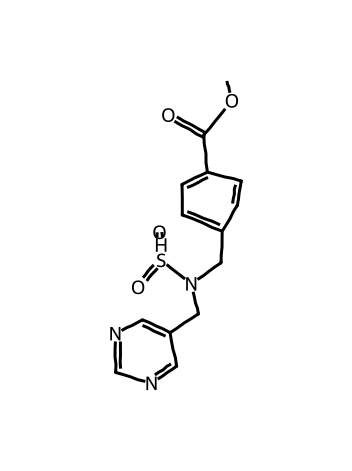 COC(=O)c1ccc(CN(Cc2cncnc2)[SH](=O)=O)cc1